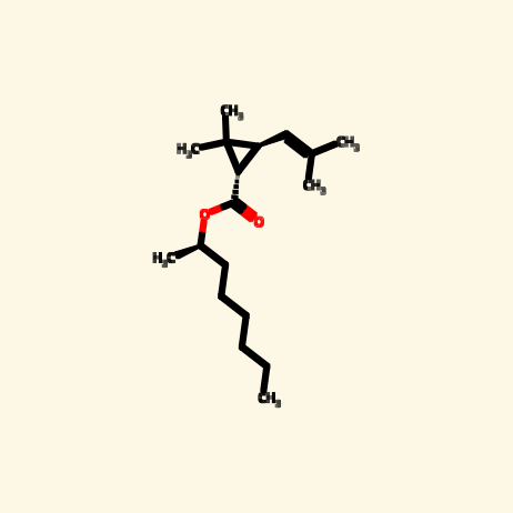 CCCCCC[C@@H](C)OC(=O)[C@H]1[C@H](C=C(C)C)C1(C)C